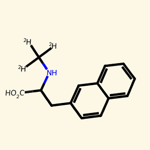 [2H]C([2H])([2H])NC(Cc1ccc2ccccc2c1)C(=O)O